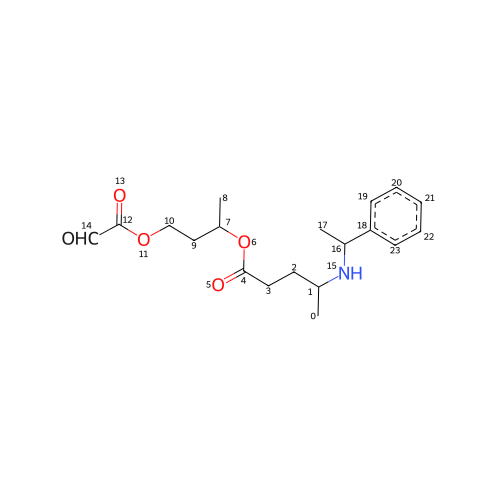 CC(CCC(=O)OC(C)CCOC(=O)C=O)NC(C)c1ccccc1